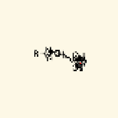 O=C1[C@@H]2[C@@H]3CC[C@@H](C3)[C@@H]2C(=O)N1CCCCN1CCN(c2ncc(Br)cn2)CC1